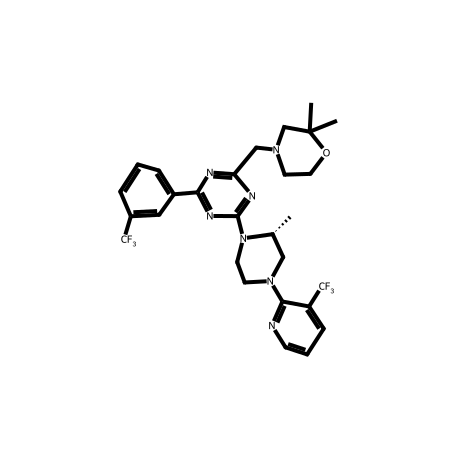 C[C@@H]1CN(c2ncccc2C(F)(F)F)CCN1c1nc(CN2CCOC(C)(C)C2)nc(-c2cccc(C(F)(F)F)c2)n1